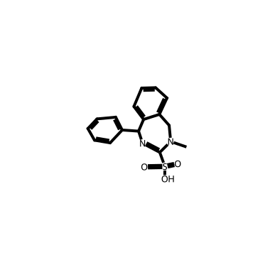 CN1Cc2ccccc2C(c2ccccc2)N=C1S(=O)(=O)O